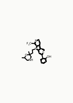 CC1CNCC(C)(CCn2c3cc(-c4ccccc4O)ccc3c3ccnc(C(F)(F)F)c32)O1